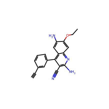 C#Cc1cccc(-c2c(C#N)c(N)nc3cc(OCC)c(N)cc23)c1